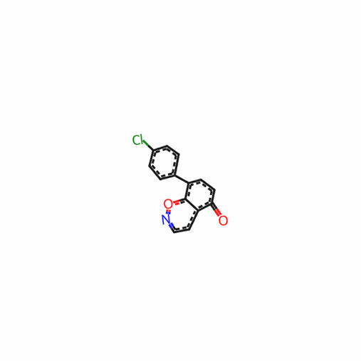 O=c1ccc(-c2ccc(Cl)cc2)c2onccc1-2